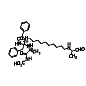 CC(C=O)NCCCCCCCCCC[C@@H](Cc1ccccc1)C(Cc1ccccc1)(NC(=O)O)N[C@@H](C)C(=O)NC(=O)O